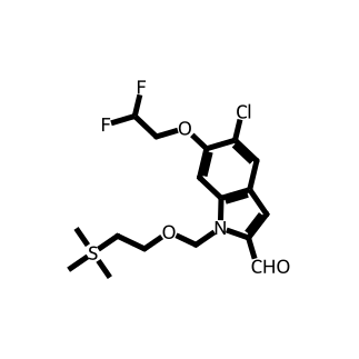 CS(C)(C)CCOCn1c(C=O)cc2cc(Cl)c(OCC(F)F)cc21